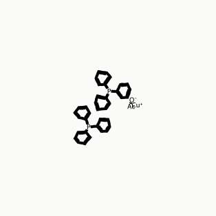 CC(=O)[O-].[Cu+].c1ccc(P(c2ccccc2)c2ccccc2)cc1.c1ccc(P(c2ccccc2)c2ccccc2)cc1